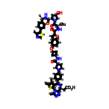 Cc1ncsc1-c1ccc([C@H](C)NC(=O)[C@@H]2C[C@@H](O)CN2C(=O)[C@@H](NC(=O)c2cc3cc(O[C@H]4C[C@@H](NC(=O)[C@H]5CCN(c6ccc(C7=N[C@@H](CC(=O)O)c8nnc(C)n8-c8sc(C)c(C)c87)cc6)C5)C4)ccc3o2)C(C)(C)C)cc1